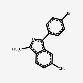 Cc1ccc2c(C(=O)O)oc(-c3ccc(Br)cc3)c2c1